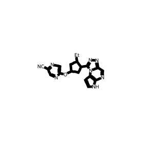 CCC1CC(Oc2cnc(C#N)cn2)CC1c1nnc2cnc3[nH]ccc3n12